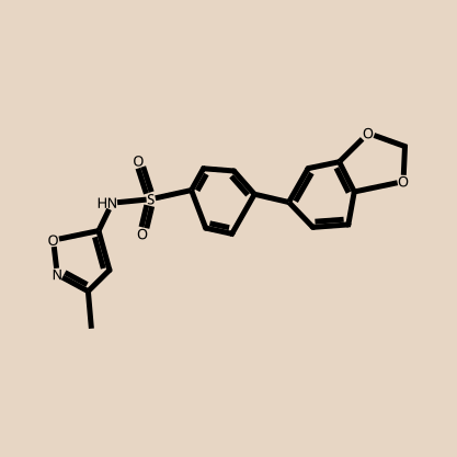 Cc1cc(NS(=O)(=O)c2ccc(-c3ccc4c(c3)OCO4)cc2)on1